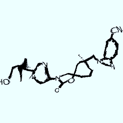 CC(C)(CO)c1cnc(N2CC3(CCC[C@](C)(Cn4cnc5ccc(C#N)cc54)C3)OC2=O)cn1